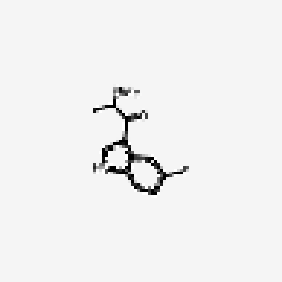 CNC(C)C(=O)c1c[nH]c2ccc(F)cc12